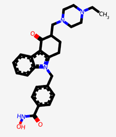 CCN1CCN(CC2CCc3c(c4ccccc4n3Cc3ccc(C(=O)NO)cc3)C2=O)CC1